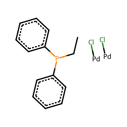 CCP(c1ccccc1)c1ccccc1.[Cl][Pd].[Cl][Pd]